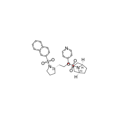 O=S(=O)(CCC[C@@H]1CCCN1S(=O)(=O)c1ccc2ccccc2c1)N1[C@@H]2CC[C@H]1C[C@H](Oc1ccncc1)C2